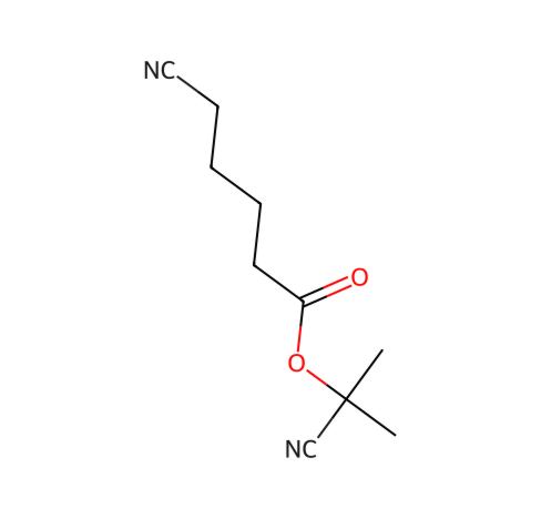 CC(C)(C#N)OC(=O)CCCCC#N